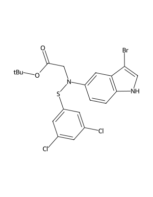 CC(C)(C)OC(=O)CN(Sc1cc(Cl)cc(Cl)c1)c1ccc2[nH]cc(Br)c2c1